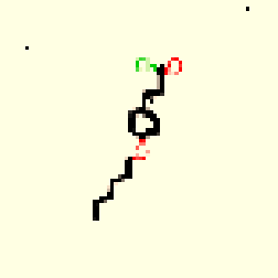 CCCCCCOc1ccc(C=CC(=O)Cl)cc1